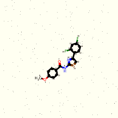 COc1ccc(C(=O)Nc2nc(-c3ccc(F)cc3F)cs2)cc1